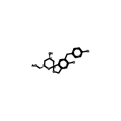 CCc1ccc(Cc2cc3c(cc2Cl)CO[C@@]32C[C@@H](O)C[C@@H](COC(C)=O)O2)cc1